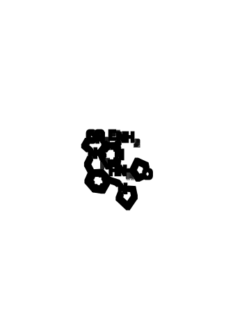 CCOC(=O)CN(Cc1cccc(CN2CCCC2)c1)c1nc(N[C@@H]2CCOC2)nc(N)c1N=O